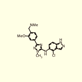 CNCc1ccc(-c2nc(Nc3ccc4[nH]ncc4c3Cl)n(C)n2)cc1OC